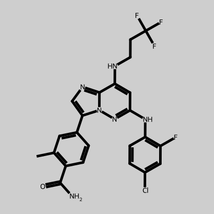 Cc1cc(-c2cnc3c(NCCC(F)(F)F)cc(Nc4ccc(Cl)cc4F)nn23)ccc1C(N)=O